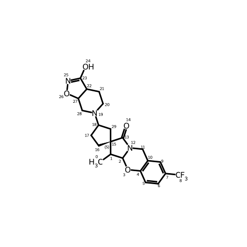 CC1C2Oc3ccc(C(F)(F)F)cc3CN2C(=O)[C@]12CCC(N1CCC3C(O)=NOC3C1)C2